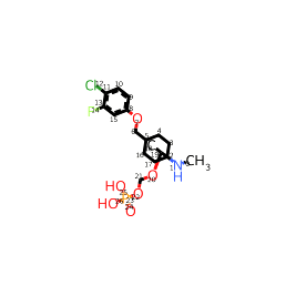 CNC12CCC(COc3ccc(Cl)c(F)c3)(CC1)CC2OCOP(=O)(O)O